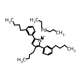 CCCCC1=C(c2cccc(CCCC)c2)[N+](=[N-])C(c2cccc(CCCC)c2)=C1.CC[CH2][Pd][CH2]CC